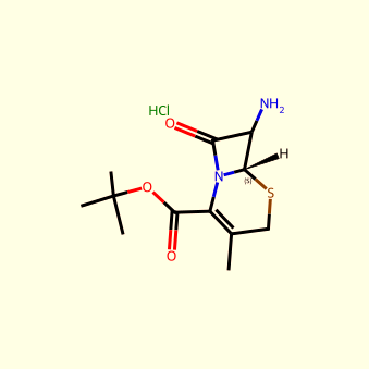 CC1=C(C(=O)OC(C)(C)C)N2C(=O)C(N)[C@@H]2SC1.Cl